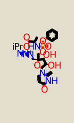 C=C1NC(=O)C=CN1[C@@H]1O[C@](CN=[N+]=[N-])(COP(=O)(NC(C)C(=O)OC(C)C)Oc2ccccc2)[C@@H](O)[C@H]1O